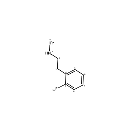 CC(C)NCCc1ccccc1F